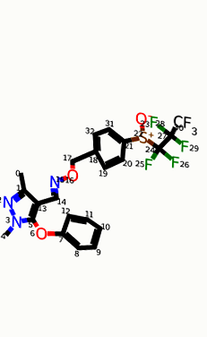 Cc1nn(C)c(Oc2ccccc2)c1C=NOCc1ccc([S+]([O-])C(F)(F)C(F)(F)C(F)(F)F)cc1